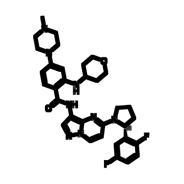 CN1CCN(c2ccc(C(=O)Nc3cnn4ccc(N5CCC[C@@H]5c5cc(F)ccc5F)nc34)c(NC3CCOCC3)c2)CC1